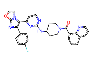 O=C(c1cccc2cccnc12)N1CCC(Nc2nccc(-c3c(-c4ccc(F)cc4)nc4occn34)n2)CC1